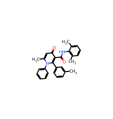 Cc1cccc(-c2c(C(=O)Nc3c(C)cccc3C)c(=O)cc(C)n2-c2ccccc2)c1